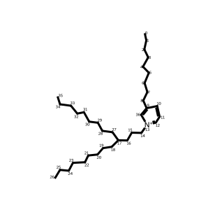 CCCCCCCCCc1ccc[n+](CCCC(CCCCCCCCC)CCCCCCCCC)c1